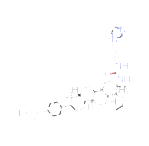 C=C(C)[C@@H]1CC[C@]2(NC(=O)NCCCn3ccnc3)CC[C@]3(C)[C@H](CC[C@@H]4[C@@]5(C)CC=C(c6ccc(C(=O)O)cc6)C(C)(C)[C@@H]5CC[C@]43C)[C@@H]12